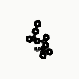 CC(C)(C)[Si](c1ccccc1)(c1ccccc1)c1ccc2c3ccccc3n(-c3ccc4c5ccccc5n(-c5ccc(-c6ccccc6)cc5)c4c3)c2c1